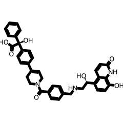 O=C(c1ccc(CNC[C@H](O)c2ccc(O)c3[nH]c(=O)ccc23)cc1)N1CC=C(c2ccc([C@](O)(C(=O)O)c3ccccc3)cc2)CC1